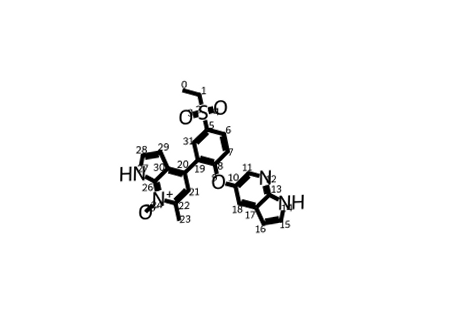 CCS(=O)(=O)c1ccc(Oc2cnc3[nH]ccc3c2)c(-c2cc(C)[n+]([O-])c3[nH]ccc23)c1